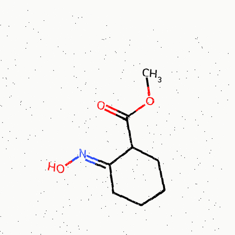 COC(=O)C1CCCCC1=NO